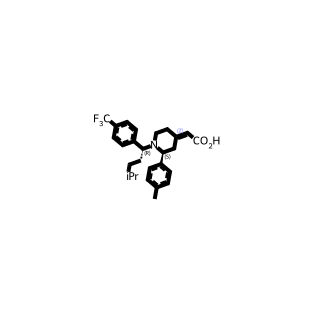 Cc1ccc([C@@H]2C/C(=C\C(=O)O)CCN2[C@H](CCC(C)C)c2ccc(C(F)(F)F)cc2)cc1